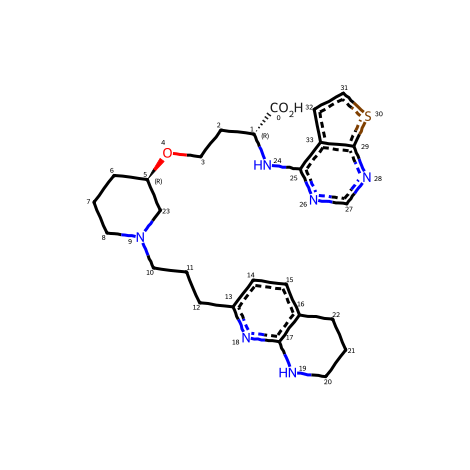 O=C(O)[C@@H](CCO[C@@H]1CCCN(CCCc2ccc3c(n2)NCCC3)C1)Nc1ncnc2sccc12